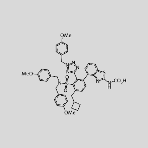 COc1ccc(CN(Cc2ccc(OC)cc2)S(=O)(=O)c2c(CC3CCC3)ccc(-c3cccc4sc(NC(=O)O)nc34)c2-c2nnn(Cc3ccc(OC)cc3)n2)cc1